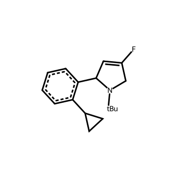 CC(C)(C)N1CC(F)=CC1c1ccccc1C1CC1